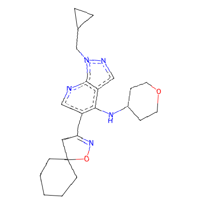 c1nc2c(cnn2CC2CC2)c(NC2CCOCC2)c1C1=NOC2(CCCCC2)C1